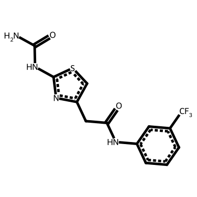 NC(=O)Nc1nc(CC(=O)Nc2cccc(C(F)(F)F)c2)cs1